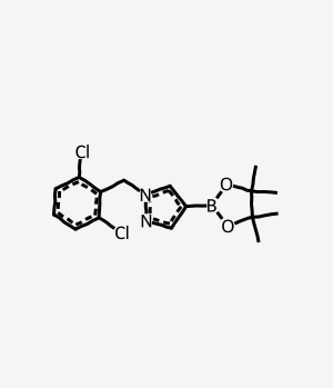 CC1(C)OB(c2cnn(Cc3c(Cl)cccc3Cl)c2)OC1(C)C